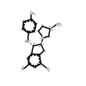 Cc1ccc(N[C@H]2c3cc(Cl)cc(Cl)c3C[C@@H]2N2CC[C@@H](C)C2)cc1